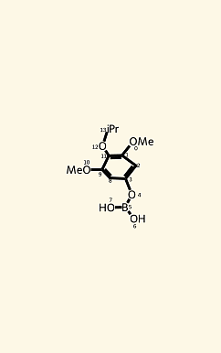 COc1cc(OB(O)O)cc(OC)c1OC(C)C